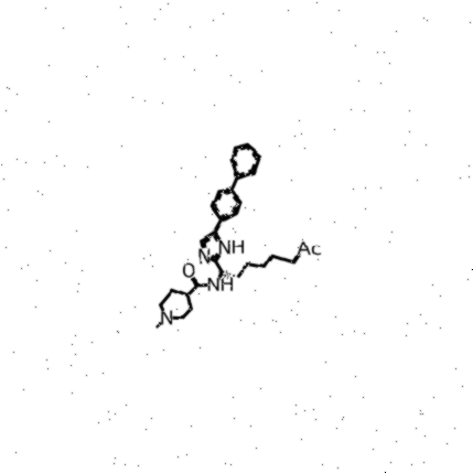 CC(=O)CCCCC[C@H](NC(=O)C1CCN(C)CC1)c1ncc(-c2ccc(-c3ccccc3)cc2)[nH]1